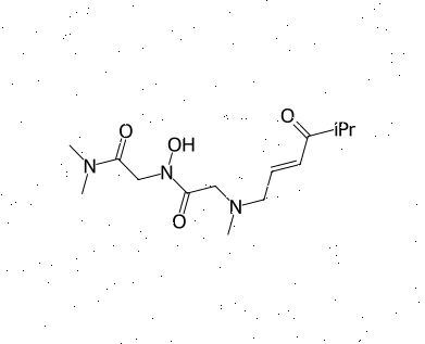 CC(C)C(=O)/C=C/CN(C)CC(=O)N(O)CC(=O)N(C)C